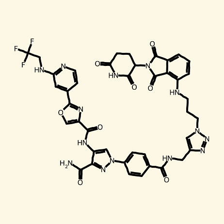 NC(=O)c1nn(-c2ccc(C(=O)NCc3cn(CCCNc4cccc5c4C(=O)N(C4CCC(=O)NC4=O)C5=O)nn3)cc2)cc1NC(=O)c1coc(-c2ccnc(NCC(F)(F)F)c2)n1